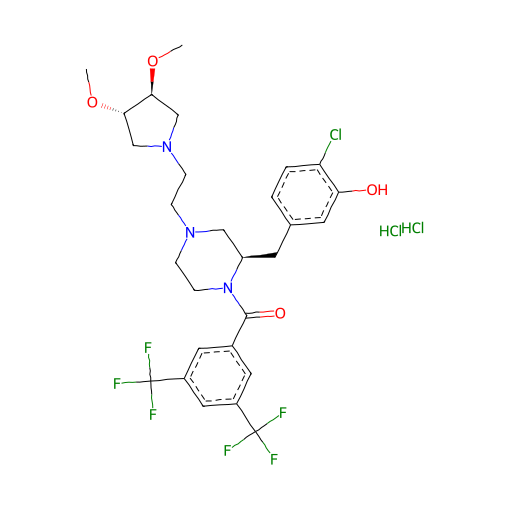 CO[C@H]1CN(CCN2CCN(C(=O)c3cc(C(F)(F)F)cc(C(F)(F)F)c3)[C@H](Cc3ccc(Cl)c(O)c3)C2)C[C@@H]1OC.Cl.Cl